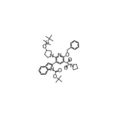 CC(C)(C)OC(=O)n1c(-c2cc(S(=O)(=O)N3CCC3)c(OCc3ccccc3)nc2N2CCC(O[Si](C)(C)C(C)(C)C)C2)cc2ccccc21